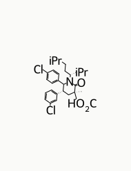 CC(C)CC[C@H](C(C)C)N1C(=O)[C@@](C)(CC(=O)O)C[C@H](c2cccc(Cl)c2)C1c1ccc(Cl)cc1